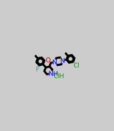 Cc1ccc(C2CCNCC2C(=O)N2CCN(c3cc(Cl)ccc3C)CC2)c(F)c1.Cl